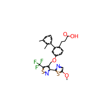 COc1cnc(-c2nsc(C(F)(F)F)c2COc2ccc(CCC(=O)O)c(-c3cccc(C)c3C)c2)s1